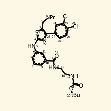 CC(C)Cc1sc(Nc2cccc(C(=O)NCCNC(=O)OC(C)(C)C)c2)nc1-c1ccc(Cl)c(Cl)c1